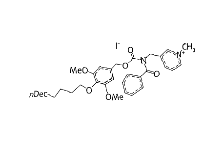 CCCCCCCCCCCCCCOc1c(OC)cc(COC(=O)N(Cc2ccc[n+](C)c2)C(=O)c2ccccc2)cc1OC.[I-]